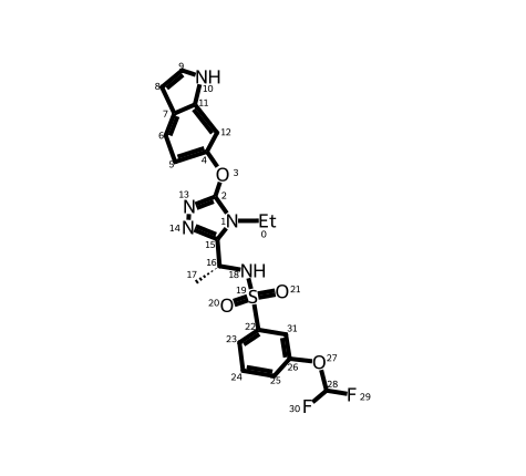 CCn1c(Oc2ccc3cc[nH]c3c2)nnc1[C@@H](C)NS(=O)(=O)c1cccc(OC(F)F)c1